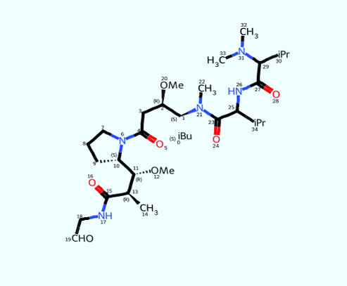 CC[C@H](C)[C@@H]([C@@H](CC(=O)N1CCC[C@H]1[C@H](OC)[C@@H](C)C(=O)NCC=O)OC)N(C)C(=O)C(NC(=O)C(C(C)C)N(C)C)C(C)C